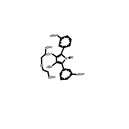 CCCCCCCCCCC[CH2][Ni][CH2]CCCCCCCCCCC.CCCCCCCCCc1cccc(C2=C(CCCC)C(CCCCCCCC)=C(c3cccc(CCCCCCCCC)c3)[N+]2=[N-])c1